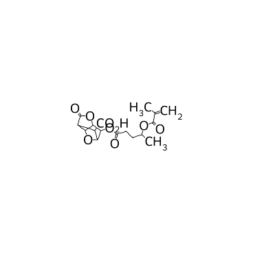 C=C(C)C(=O)OC(C)CCC(=O)OC1C2OC(=O)C3C2OC1C3C(=O)O